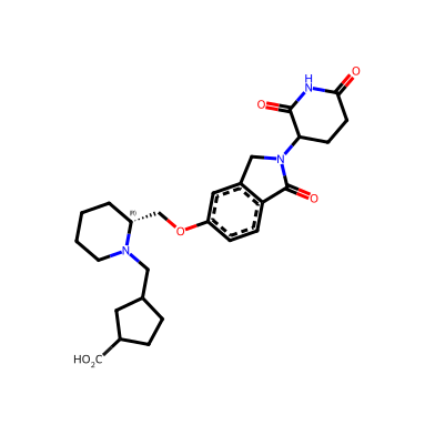 O=C1CCC(N2Cc3cc(OC[C@H]4CCCCN4CC4CCC(C(=O)O)C4)ccc3C2=O)C(=O)N1